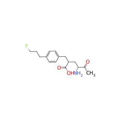 CC(=O)C(N)CC(Cc1ccc(CCCF)cc1)C(=O)O